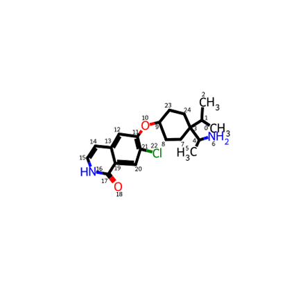 CC(C)C1(C(C)N)CCC(Oc2cc3cc[nH]c(=O)c3cc2Cl)CC1